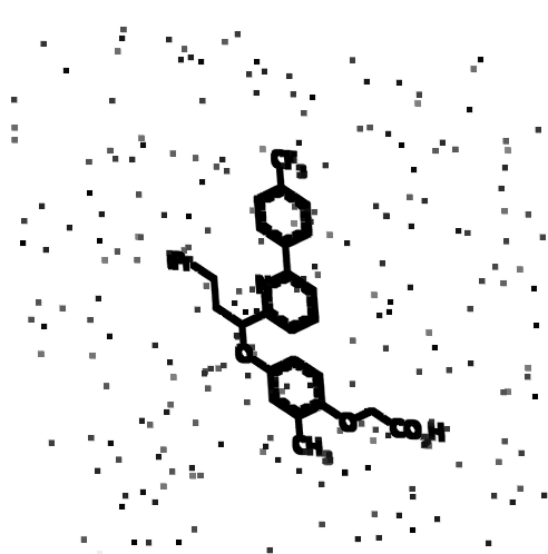 Cc1cc(OC(CCC(C)C)c2cccc(-c3ccc(C(F)(F)F)cc3)n2)ccc1OCC(=O)O